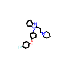 Fc1ccc(Oc2ccc(-n3c(CCN4CCCCC4)nc4ccccc43)cc2)cc1